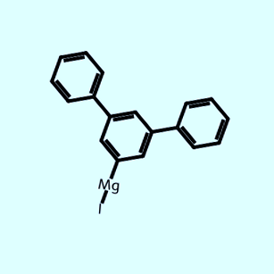 [I][Mg][c]1cc(-c2ccccc2)cc(-c2ccccc2)c1